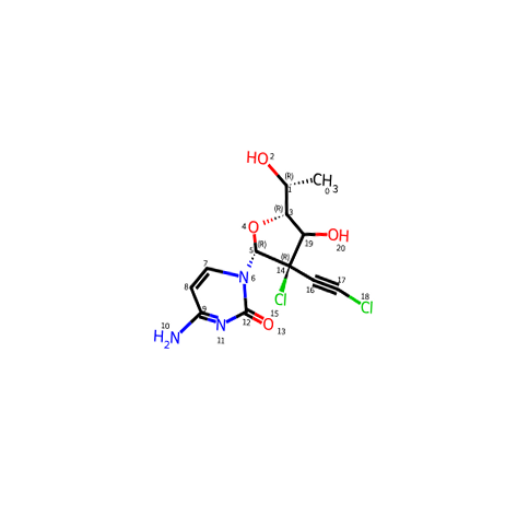 C[C@@H](O)[C@H]1O[C@@H](n2ccc(N)nc2=O)[C@@](Cl)(C#CCl)C1O